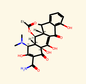 CCC(=O)O[C@@H]1[C@H]2[C@H](N(C)C)C(O)=C(C(N)=O)C(=O)[C@@]2(O)C(O)=C2C(=O)c3c(O)cccc3C(C)[C@H]21